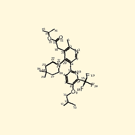 Cc1ncc(-c2ccc(OCC(C)C)c(C(F)(F)F)n2)c(N2CCC(C)(C)CC2)c1CC(=O)OC(C)C